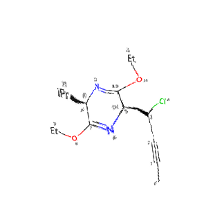 CC#CC(Cl)[C@H]1N=C(OCC)[C@@H](C(C)C)N=C1OCC